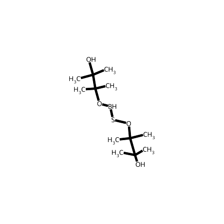 CC(C)(O)C(C)(C)OBSOC(C)(C)C(C)(C)O